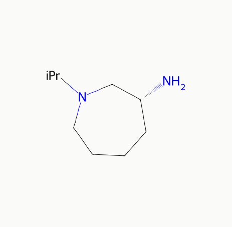 CC(C)N1CCCC[C@@H](N)C1